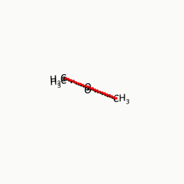 CCCCCCCCC=CCCCCCCCCCCCCCC(=O)OCCCCCCCCCCCCCCCCCCC(C)C